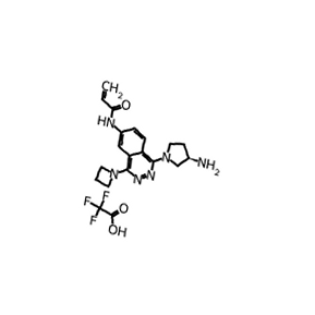 C=CC(=O)Nc1ccc2c(N3CC[C@@H](N)C3)nnc(N3CCC3)c2c1.O=C(O)C(F)(F)F